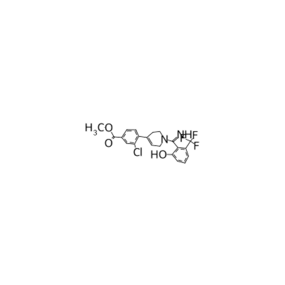 COC(=O)c1ccc(C2=CCN(C(=N)c3c(O)cccc3C(F)(F)F)CC2)c(Cl)c1